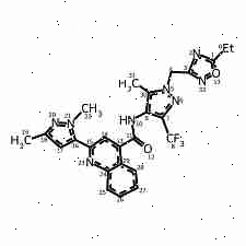 CCc1nc(Cn2nc(C(F)(F)F)c(NC(=O)c3cc(-c4cc(C)nn4C)nc4ccccc34)c2C)no1